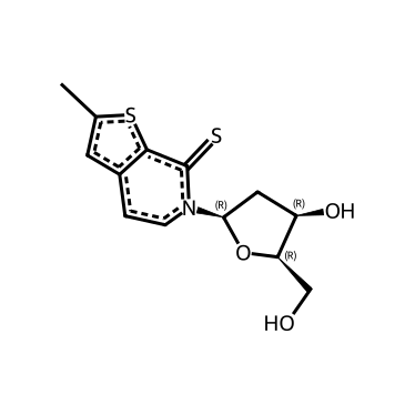 Cc1cc2ccn([C@H]3C[C@@H](O)[C@@H](CO)O3)c(=S)c2s1